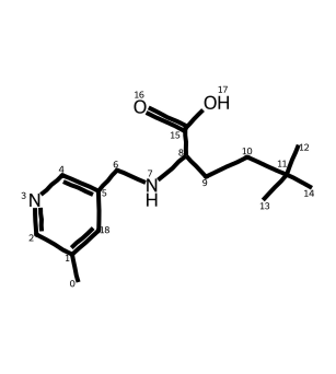 Cc1cncc(CNC(CCC(C)(C)C)C(=O)O)c1